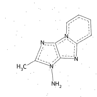 Cc1nc2c(nc3ccccn32)n1N